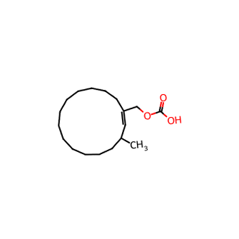 CC1C=C(COC(=O)O)CCCCCCCCCCCC1